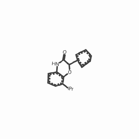 CC(C)c1cccc2c1OC(c1ccccc1)C(=O)N2